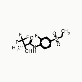 CCS(=O)(=O)c1ccc(NC(=O)[C@@](C)(O)C(F)(F)F)c(F)c1